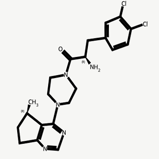 C[C@@H]1CCc2ncnc(N3CCN(C(=O)[C@H](N)Cc4ccc(Cl)c(Cl)c4)CC3)c21